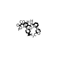 C[C@@H]1CN(c2cccc(NC(=O)c3ccc(C(C(=O)O)C(=O)OF)nc3N3CCC4(CC3)CC4)n2)CCO1